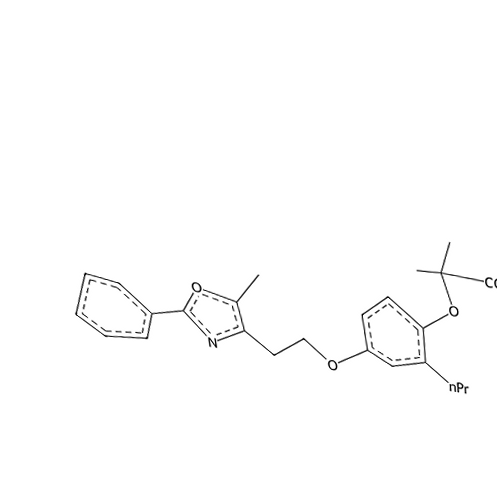 CCCc1cc(OCCc2nc(-c3ccccc3)oc2C)ccc1OC(C)(C)C(=O)O